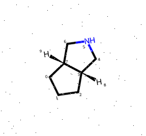 [CH]1CC[C@H]2CNC[C@@H]12